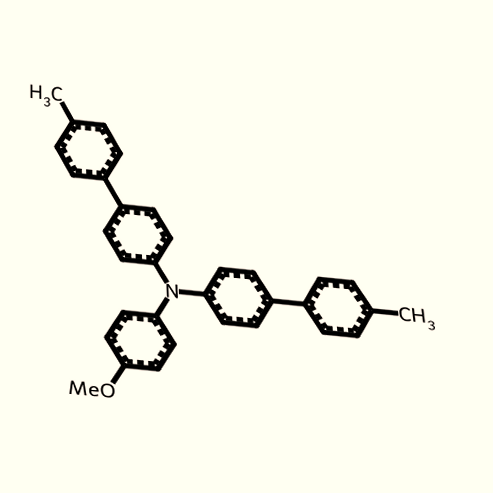 COc1ccc(N(c2ccc(-c3ccc(C)cc3)cc2)c2ccc(-c3ccc(C)cc3)cc2)cc1